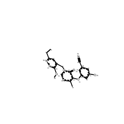 CCc1cc(Cn2cnc(C)c(Oc3cc(Cl)cc(C#N)c3)c2=O)c(OC)nn1